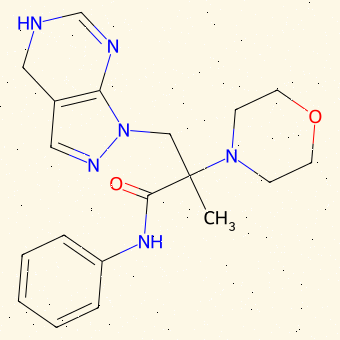 CC(Cn1ncc2c1N=CNC2)(C(=O)Nc1ccccc1)N1CCOCC1